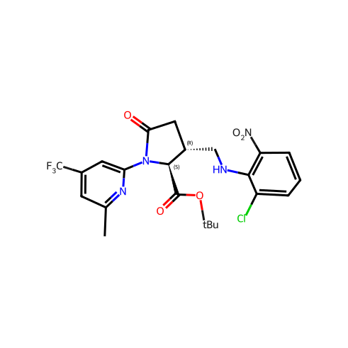 Cc1cc(C(F)(F)F)cc(N2C(=O)C[C@H](CNc3c(Cl)cccc3[N+](=O)[O-])[C@H]2C(=O)OC(C)(C)C)n1